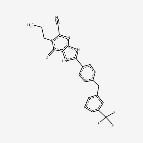 CCCn1c(C#N)nc2nc(-c3ccc(Cc4cccc(C(F)(F)F)c4)nc3)[nH]c2c1=O